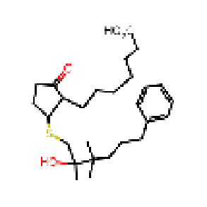 CC(C)(CCCc1ccccc1)C(C)(O)CSC1CCC(=O)C1CCCCCCC(=O)O